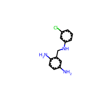 Nc1ccc(N)c(CNc2cccc(Cl)c2)c1